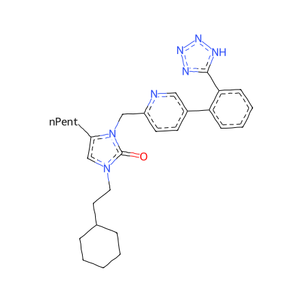 CCCCCc1cn(CCC2CCCCC2)c(=O)n1Cc1ccc(-c2ccccc2-c2nnn[nH]2)cn1